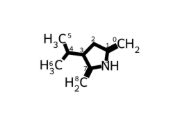 C=C1CC(C(C)C)C(=C)N1